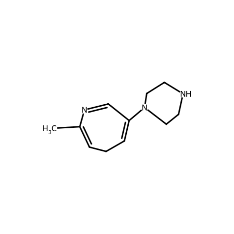 CC1=CCC=C(N2CCNCC2)C=N1